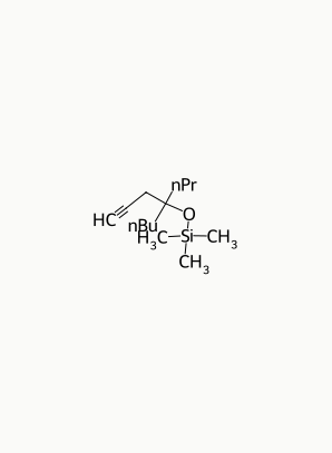 C#CCC(CCC)(CCCC)O[Si](C)(C)C